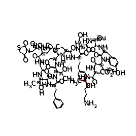 CC[C@H](C)[C@H](NC(=O)[C@H](CO)NC(=O)[C@H](CCc1ccc(O)cc1)NC(=O)[C@H](CC(=O)O)NC(=O)[C@H](CO)NC(=O)[C@@H](NC(=O)[C@H](CCc1ccccc1)NC(=O)[C@@H](NC(=O)CNC(=O)[C@H](CCC(=O)O)NC(=O)CN1C(=O)CSC1=O)[C@@H](C)O)[C@@H](C)O)C(=O)N[C@@H](Cc1ccc(O)cc1)C(=O)N[C@@H](CC(C)C)C(=O)N[C@@H](CC(=O)O)C(=O)N[C@H](C)CCCCN